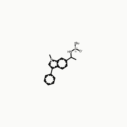 CC(N[S@+]([O-])C(C)(C)C)c1ccc2c(-c3ccccc3)cn(C)c2c1